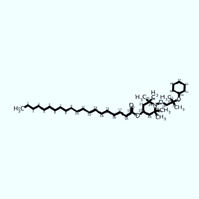 CCCCCCCCCCCCCCCCCCCC(=O)OC1CC(C)(C)N(OCC(C)(C)OC2CCCCC2)C(C)(C)C1